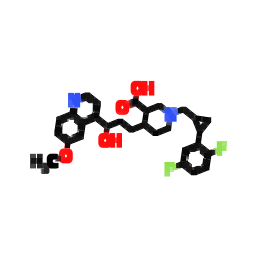 COc1ccc2nccc(C(O)CCC3CCN(CC4CC4c4cc(F)ccc4F)CC3C(=O)O)c2c1